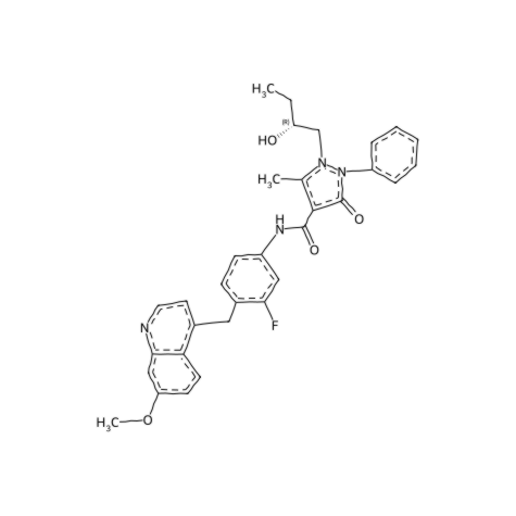 CC[C@@H](O)Cn1c(C)c(C(=O)Nc2ccc(Cc3ccnc4cc(OC)ccc34)c(F)c2)c(=O)n1-c1ccccc1